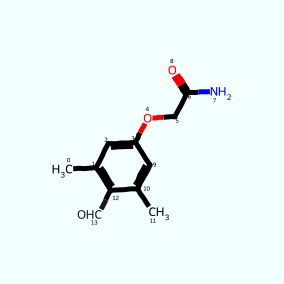 Cc1cc(OCC(N)=O)cc(C)c1C=O